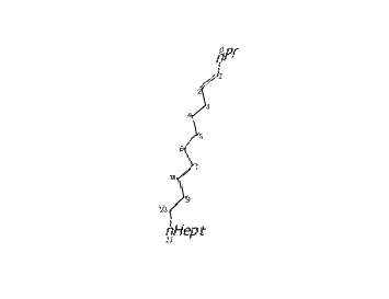 CCCC=CCCCCCCCCCCCCCCC